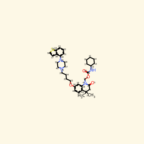 CC1(C)CC(=O)N(COC(=O)NC2CCCCC2)c2cc(OCCCCN3CCN(c4cccc5sccc45)CC3)ccc21